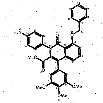 COC(=O)c1c(-c2cc(OC)c(OC)c(OC)c2)c2cccc(OCc3ccccc3)c2c(=O)n1-c1ccc(N)cc1